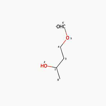 CC(O)CCO[C]=O